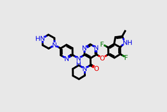 Cc1cc2c(F)c(Oc3ncnc(Nc4ccc(N5CCNCC5)cn4)c3C(=O)N3CCCCC3)cc(F)c2[nH]1